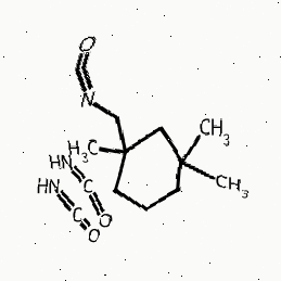 CC1(C)CCCC(C)(CN=C=O)C1.N=C=O.N=C=O